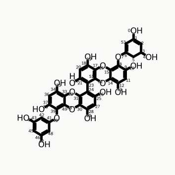 OC1=CC(O)CC(Oc2c(O)cc(O)c3c2Oc2c(O)cc(O)c(-c4c(O)cc(O)c5c4Oc4c(O)cc(O)c(Oc6cc(O)cc(O)c6)c4O5)c2O3)=C1